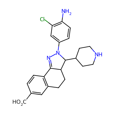 Nc1ccc(N2N=C3c4ccc(C(=O)O)cc4CCC3C2C2CCNCC2)cc1Cl